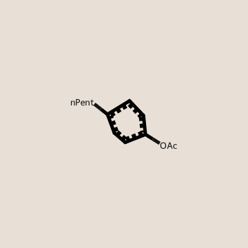 CCCCCc1ccc(OC(C)=O)cc1